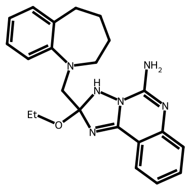 CCOC1(CN2CCCCc3ccccc32)N=C2c3ccccc3N=C(N)N2N1